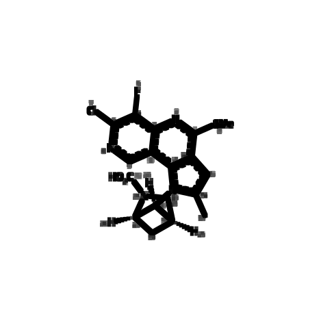 CSc1nc2c(F)c(Cl)ncc2c2c1cc(C)n2[C@H]1[C@@H]2C[C@H]1N(C(=O)O)C2